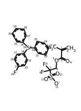 C=C(C)C(=O)OCC(F)(F)S(=O)(=O)[O-].Fc1ccc([S+](c2ccccc2)c2ccccc2)cc1